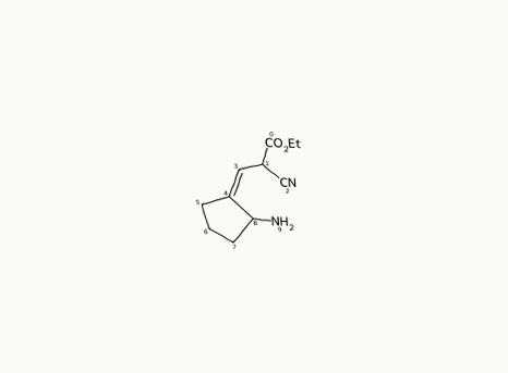 CCOC(=O)C(C#N)C=C1CCCC1N